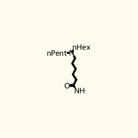 CCCCCCN(CCCCC)CCCCCC([NH])=O